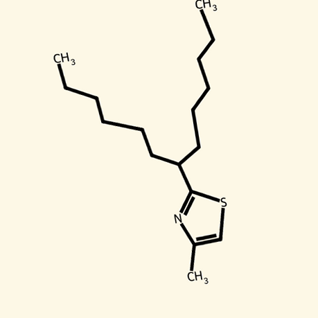 CCCCCCC(CCCCCC)c1nc(C)cs1